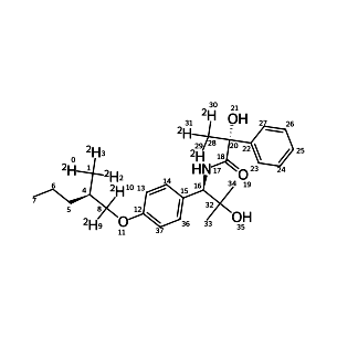 [2H]C([2H])([2H])[C@H](CCC)C([2H])([2H])Oc1ccc([C@@H](NC(=O)[C@](O)(c2ccccc2)C([2H])([2H])[2H])C(C)(C)O)cc1